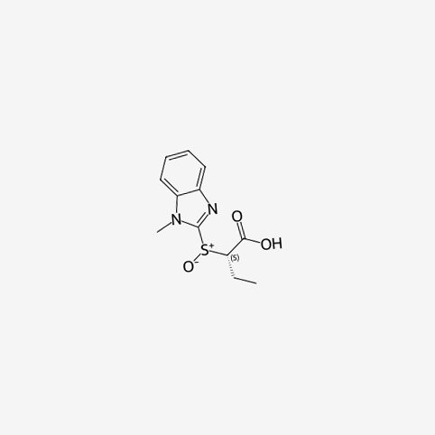 CC[C@@H](C(=O)O)[S+]([O-])c1nc2ccccc2n1C